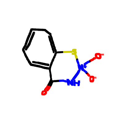 O=C1N[N+]([O-])([O-])Sc2ccccc21